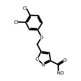 O=NC(=O)c1cc(COc2ccc(Cl)c(Cl)c2)on1